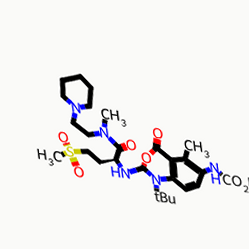 Cc1c(NC(=O)O)ccc2c1C(=O)OC(N[C@@H](CCS(C)(=O)=O)C(=O)N(C)CCN1CCCCC1)N2C(C)(C)C